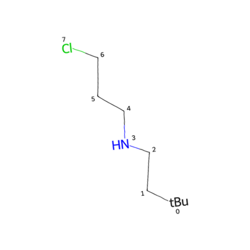 CC(C)(C)CCNCCCCl